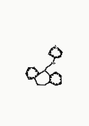 c1ccc2c(c1)CCc1ccccc1C2CNc1ccncc1